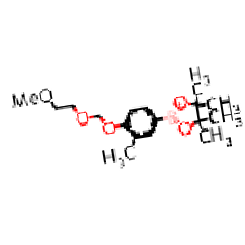 COCCOCOc1ccc(B2OC(C)(C)C(C)(C)O2)cc1C